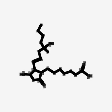 CCCCC(C)(O)CC=CC1C(O)CC(=O)C1CCCCCCC(=O)O